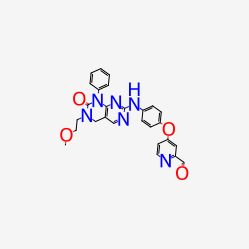 COCCN1Cc2cnc(Nc3ccc(Oc4ccnc(C=O)c4)cc3)nc2N(c2ccccc2)C1=O